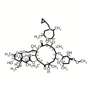 CO/N=C1\C[C@@H](C)O[C@@H](O[C@@H]2[C@@H](C)[C@H](O[C@H]3CC(C)N(CC4CC4)C[C@H](C)O3)[C@@H](C)C(=O)O[C@H]([C@@H](C)CO[C@@H]3O[C@H](C)[C@@H](O)[C@@H](OC)[C@H]3OC)[C@H](C)[C@@H](OC(=O)CC(C)C)[C@@H](C)C(=O)[C@@](C)(O)C[C@@H]2C)[C@@H]1O